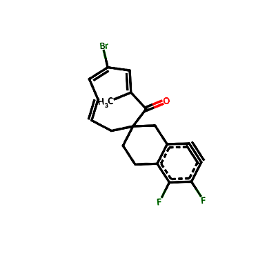 C\C1=C/C(Br)=C\C=C\CC2(CCc3c(c#cc(F)c3F)C2)C1=O